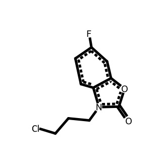 O=c1oc2cc(F)ccc2n1CCCCl